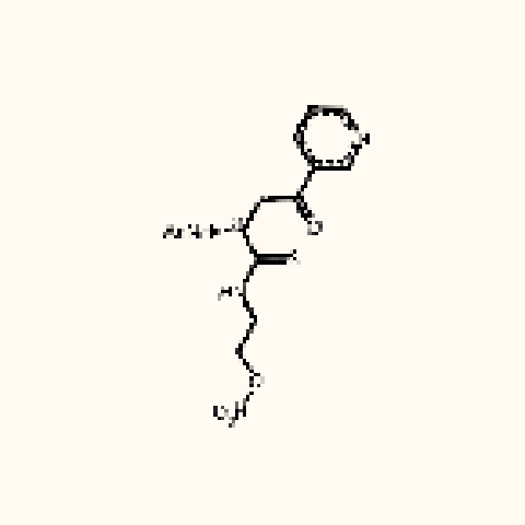 CC(=O)N[C@H](CC(=O)c1cccnc1)C(=S)NCCO[N+](=O)[O-]